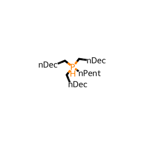 CCCCCCCCCCC[PH](CCCCC)(CCCCCCCCCCC)CCCCCCCCCCC